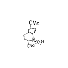 COc1ccc2c(c1)CC[C@H](C=O)N2C(=O)O